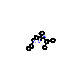 c1ccc(-c2cc(-c3ccccc3)cc(-c3nc4ccccc4c4c3cnc3c4ccc4ccc(-c5ccc6ccccc6c5)nc43)c2)cc1